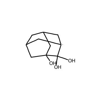 OC12CC3C[C](CC(C3)C1)C2(O)O